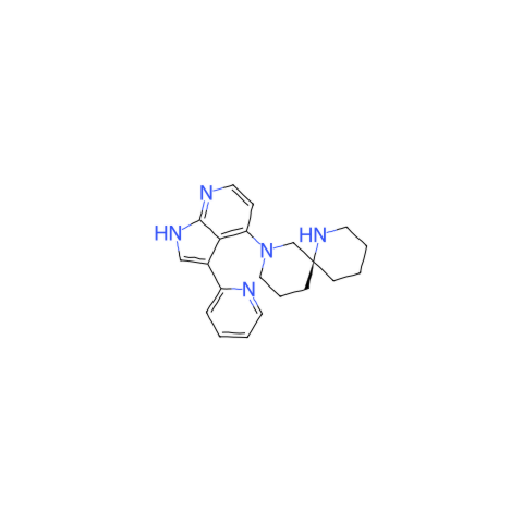 c1ccc(-c2c[nH]c3nccc(N4CCC[C@@]5(CCCCN5)C4)c23)nc1